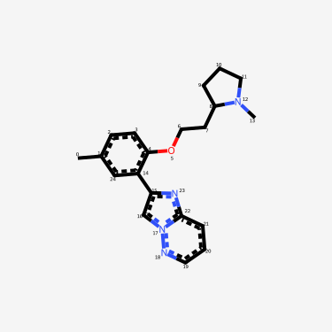 Cc1ccc(OCCC2CCCN2C)c(-c2cn3ncccc3n2)c1